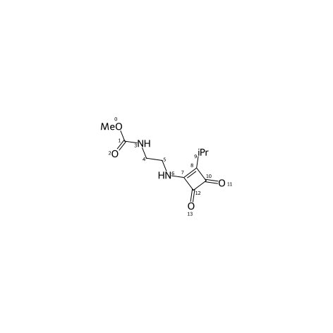 COC(=O)NCCNc1c(C(C)C)c(=O)c1=O